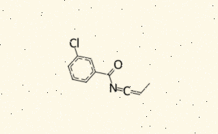 CC=C=NC(=O)c1cccc(Cl)c1